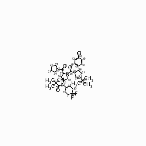 CC(C)(C)C(=O)N(C1CCC(F)(F)CC1)[C@H]1C[C@@H](C(=O)N2CCCC2)N(C(=O)[C@@H]2CN(C(C)(C)C)C[C@H]2c2ccc(Cl)cc2)C1